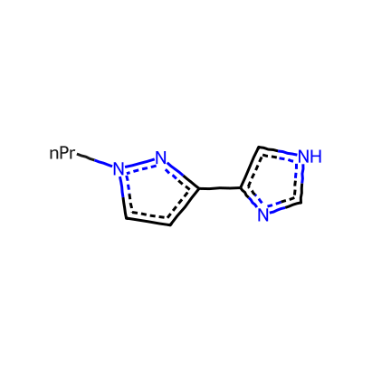 CCCn1ccc(-c2c[nH]cn2)n1